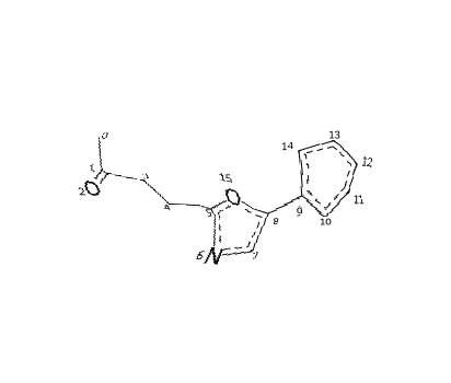 CC(=O)CCc1ncc(-c2ccccc2)o1